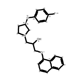 OC(COc1cccc2ccccc12)CN1CC[C@@H](Oc2ccc(F)cc2)C1